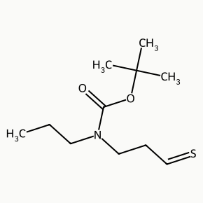 CCCN(CCC=S)C(=O)OC(C)(C)C